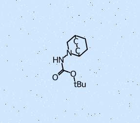 CC(C)(C)OC(=O)NN1CC2CCC1CC2